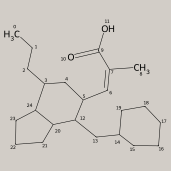 CCCC1CC(C=C(C)C(=O)O)C(CC2CCCCC2)C2CCCC12